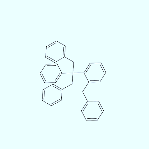 c1ccc(Cc2ccccc2C(Cc2ccccc2)(Cc2ccccc2)c2ccccc2)cc1